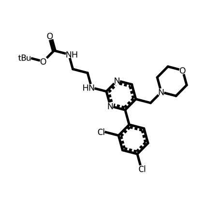 CC(C)(C)OC(=O)NCCNc1ncc(CN2CCOCC2)c(-c2ccc(Cl)cc2Cl)n1